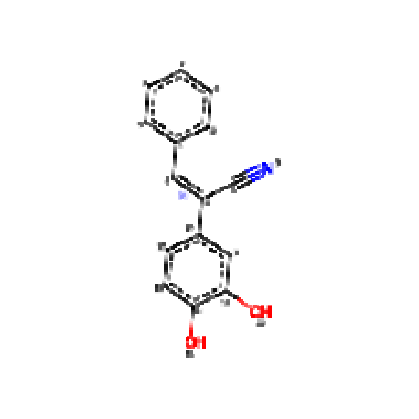 N#C/C(=C\c1ccccc1)c1ccc(O)c(O)c1